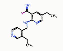 CCc1cnc(NCc2ccncc2CC)c(C(=N)I)c1